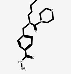 CCCCN(Cc1ccc(C(=O)NN)cc1)C(=O)N1CCOCC1